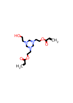 C=CC(=O)OCCN1CN(CCO)CN(CCOC(=O)C=C)C1